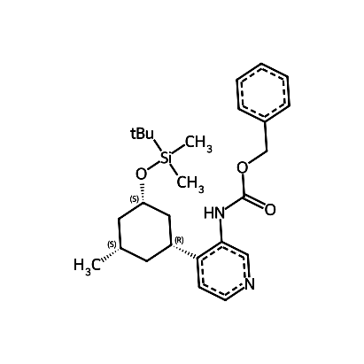 C[C@@H]1C[C@H](O[Si](C)(C)C(C)(C)C)C[C@H](c2ccncc2NC(=O)OCc2ccccc2)C1